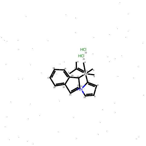 C[C](C)=[Zr]([CH3])([CH3])([CH3])([c]1ccc[nH]1)[CH]1C=Cc2ccccc21.Cl.Cl